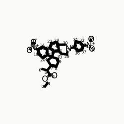 CCOC(=O)C(C)C1=CC=CC(c2ccc([N+](=O)[O-])cc2)(c2cccc3c2CCN(c2ccc([N+](=O)[O-])cc2)C3)C1